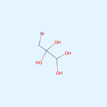 OC(O)C(O)(O)CBr